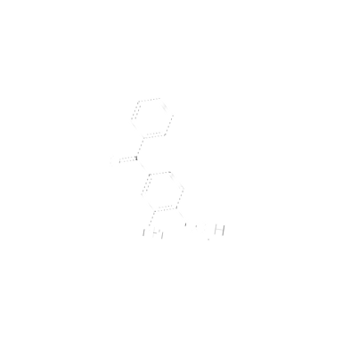 CCCc1cc(C(=O)c2ccccc2)ccc1C(=O)O